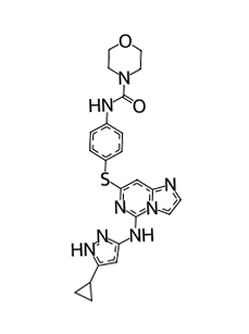 O=C(Nc1ccc(Sc2cc3nccn3c(Nc3cc(C4CC4)[nH]n3)n2)cc1)N1CCOCC1